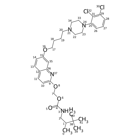 CC(CNC(=O)OCOc1ccc2ccc(OCCCCN3CCN(c4cccc(Cl)c4Cl)CC3)cc2n1)C(C)(C)C